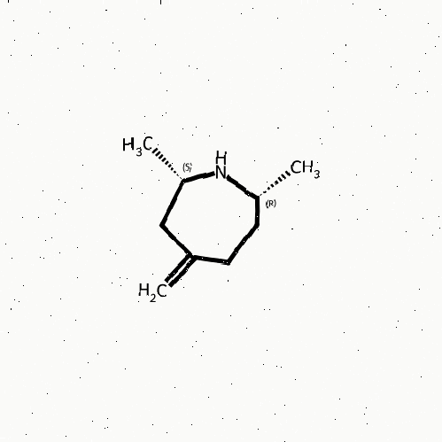 C=C1CC[C@@H](C)N[C@@H](C)C1